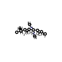 CC1(C)c2cc(-c3ccccc3)ccc2-c2ccc(-c3cc(/C=C/c4ccncc4)c(-c4ccc5c(c4)C(C)(C)c4cc(-c6ccc(-c7ccccc7)c7nsnc67)ccc4-5)cc3/C=C/c3ccncc3)cc21